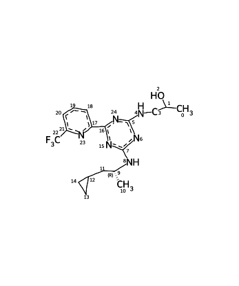 CC(O)CNc1nc(N[C@H](C)CC2CC2)nc(-c2cccc(C(F)(F)F)n2)n1